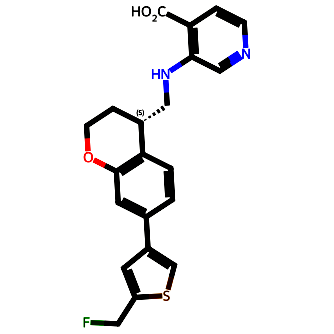 O=C(O)c1ccncc1NC[C@H]1CCOc2cc(-c3csc(CF)c3)ccc21